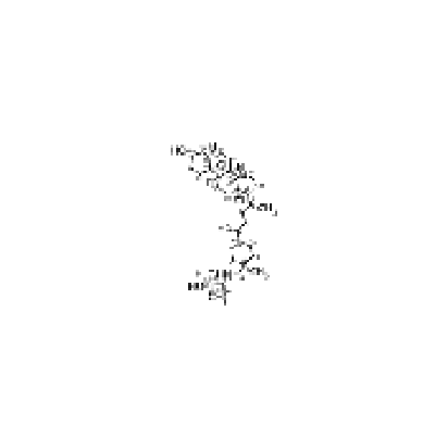 C[C@H](CCC(=O)N1CCC(C)(CNC(=O)C(C)(C)O)CC1)[C@H]1CC[C@H]2[C@@H]3CC[C@H]4C[C@@H](O)CC[C@]4(C)[C@H]3CC[C@]12C